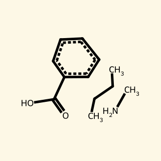 CCCC.CN.O=C(O)c1ccccc1